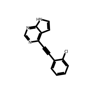 Clc1ccccc1C#Cc1ncnc2[nH]ccc12